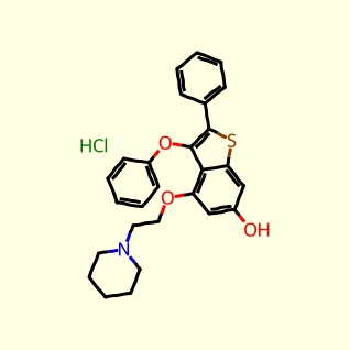 Cl.Oc1cc(OCCN2CCCCC2)c2c(Oc3ccccc3)c(-c3ccccc3)sc2c1